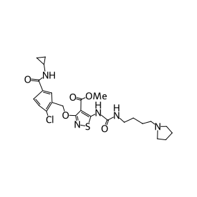 COC(=O)c1c(OCc2cc(C(=O)NC3CC3)ccc2Cl)nsc1NC(=O)NCCCCN1CCCC1